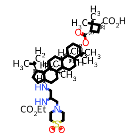 C=C(C)[C@@H]1CC[C@]2(NCC(CN3CCS(=O)(=O)CC3)NC(=O)OCC)CC[C@]3(C)[C@H](CC[C@@H]4[C@@]5(C)CC[C@H](OC(=O)[C@H]6C[C@@H](C(=O)O)C6(C)C)C(C)(C)[C@@H]5CC[C@]43C)[C@@H]12